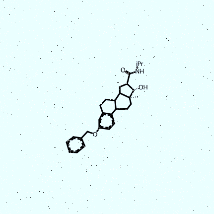 CC(C)NC(=O)C1CC2C3CCc4cc(OCc5ccccc5)ccc4C3CC[C@]2(C)[C@H]1O